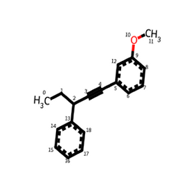 CCC(C#Cc1cccc(OC)c1)c1ccccc1